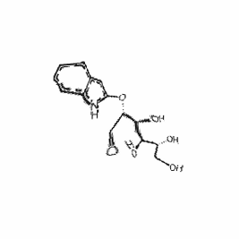 O=C[C@H](Oc1cc2ccccc2[nH]1)[C@@H](O)[C@H](O)[C@H](O)CO